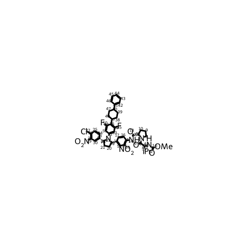 COC(=O)N[C@H](C(=O)N1CCC[C@H]1C(=O)Nc1ccc([C@H]2CC[C@H](c3ccc(Cl)c([N+](=O)[O-])c3)N2c2cc(F)c(C3CCC(c4ccccc4)CC3)c(F)c2)cc1[N+](=O)[O-])C(C)C